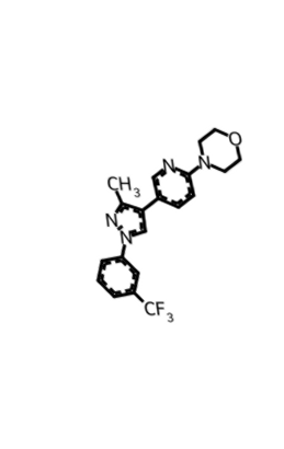 Cc1nn(-c2cccc(C(F)(F)F)c2)cc1-c1ccc(N2CCOCC2)nc1